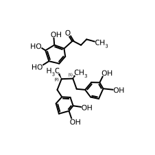 CCCC(=O)c1ccc(O)c(O)c1O.C[C@H](Cc1ccc(O)c(O)c1)[C@@H](C)Cc1ccc(O)c(O)c1